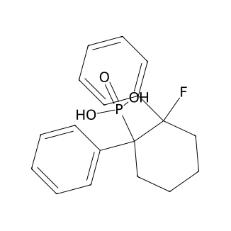 O=P(O)(O)C1(c2ccccc2)CCCCC1(F)c1ccccc1